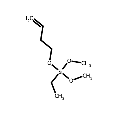 C=CCCO[Si](CC)(OC)OC